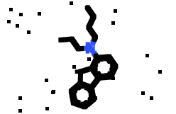 CCCCN(CCC)c1cccc2c1[CH]c1ccccc1-2